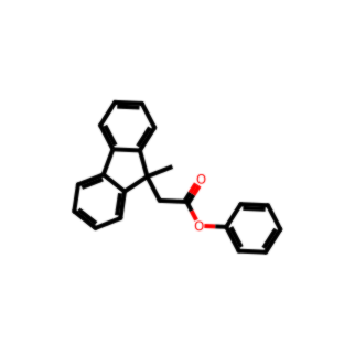 CC1(CC(=O)Oc2ccccc2)c2ccccc2-c2ccccc21